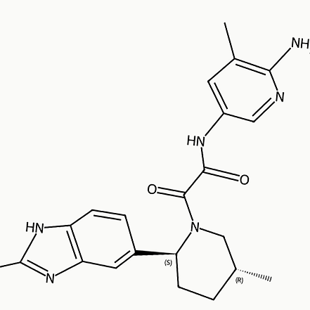 Cc1nc2cc([C@@H]3CC[C@@H](C)CN3C(=O)C(=O)Nc3cnc(N)c(C)c3)ccc2[nH]1